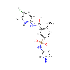 COc1ccc(S(=O)(=O)NC2CCNC2)cc1C(=O)Nc1ccc(F)c(C)n1